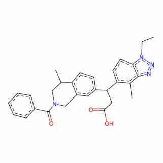 CCn1nnc2c(C)c(C(CC(=O)O)c3ccc4c(c3)CN(C(=O)c3ccccc3)CC4C)ccc21